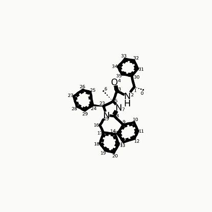 C[C@H](NC(=O)[C@@]1(C)N=C(c2ccccc2)N(Cc2ccccc2)[C@H]1c1ccccc1)c1ccccc1